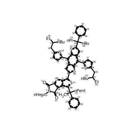 CCCCCCCN1C(=O)c2sc3c(-c4cc5c(-c6ccc(CC(CC)CCCC)s6)c6sc(C(CCC)(CCCC)c7ccccc7)cc6c(-c6ccc(CC(CC)CCCC)s6)c5s4)sc(C(C)(CCCCC)c4ccccc4)c3c2C1=O